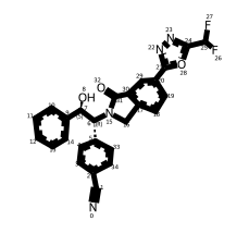 N#Cc1ccc([C@H]([C@@H](O)c2ccccc2)N2Cc3ccc(-c4nnc(C(F)F)o4)cc3C2=O)cc1